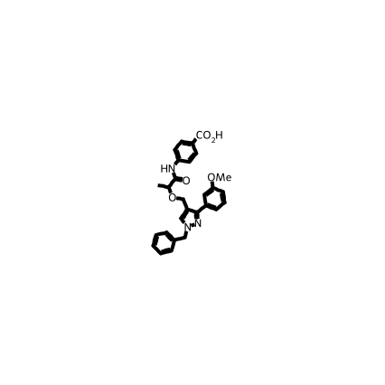 COc1cccc(-c2nn(Cc3ccccc3)cc2COC(C)C(=O)Nc2ccc(C(=O)O)cc2)c1